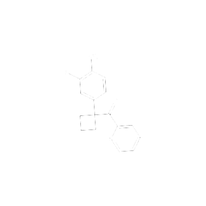 O=C(c1ccccn1)C1(c2ccc(C(F)(F)F)c(F)c2)CCC1